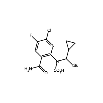 CC(C)(C)C(C1CC1)N(C(=O)O)c1nc(Cl)c(F)cc1C(N)=O